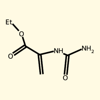 C=C(NC(N)=O)C(=O)OCC